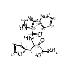 NC(=O)C(=O)C(Cc1ccco1)NC(=O)c1[nH]cnc1-c1ccccn1